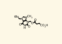 CN1CN(CC(C)(C)C)c2c1n(COC(=O)CCC(=O)O)c(=O)[nH]c2=O